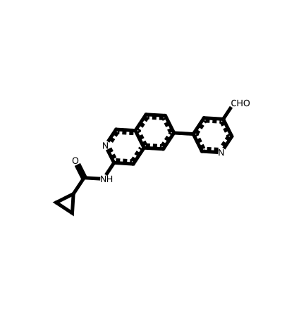 O=Cc1cncc(-c2ccc3cnc(NC(=O)C4CC4)cc3c2)c1